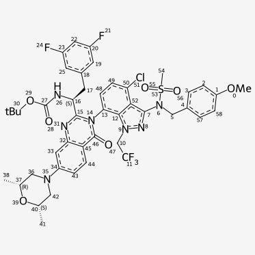 COc1ccc(CN(c2nn(CC(F)(F)F)c3c(-n4c([C@H](Cc5cc(F)cc(F)c5)NC(=O)OC(C)(C)C)nc5cc(N6C[C@@H](C)O[C@@H](C)C6)ccc5c4=O)ccc(Cl)c23)S(C)(=O)=O)cc1